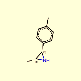 Cc1ccc([C@@H]2N[C@@H]2C)cc1